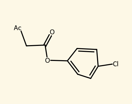 CC(=O)CC(=O)Oc1ccc(Cl)cc1